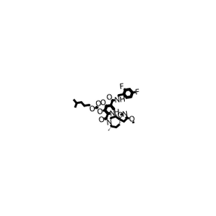 COC1=NO[C@@]2(CC[C@H](C)N3C[C@H]2n2cc(C(=O)NCc4ccc(F)cc4F)c(=O)c(OC(=O)OCCCC(C)C)c2C3=O)C1